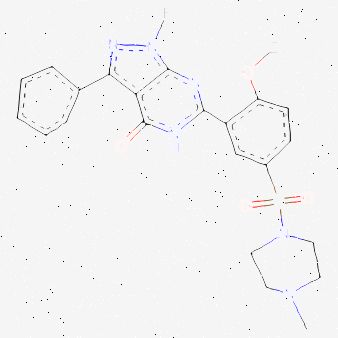 CCOc1ccc(S(=O)(=O)N2CCN(C)CC2)cc1-c1nc2c(c(-c3ccccc3)nn2CC)c(=O)[nH]1